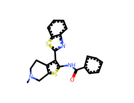 CN1CCc2c(sc(NC(=O)c3ccccc3)c2-c2nc3ccccc3s2)C1